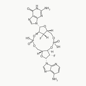 Nc1nc2c(ncn2[C@@H]2O[C@@H]3COP(=O)(S)O[C@H]4[C@H](F)[C@H](n5cnc6c(N)ccnc65)O[C@@H]4COP(=O)(S)O[C@@H]2[C@H]3F)c(=O)[nH]1